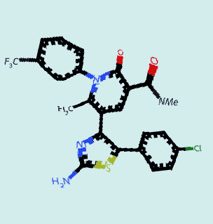 CNC(=O)c1cc(-c2nc(N)sc2-c2ccc(Cl)cc2)c(C)n(-c2cccc(C(F)(F)F)c2)c1=O